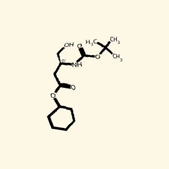 CC(C)(C)OC(=O)N[C@H](CO)CC(=O)OC1CCCCC1